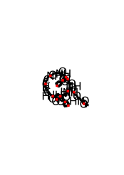 CC(C)(C)OC(=O)NCCOCCNC(=O)C1CNC(=O)c2ccc(c(=O)n2OCc2ccccc2)C(=O)NCCCNCCCCNCCCNC(=O)c2ccc(n(OCc3ccccc3)c2=O)C(=O)N1